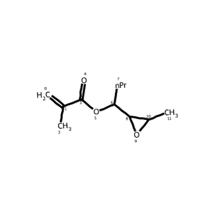 C=C(C)C(=O)OC(CCC)C1OC1C